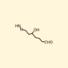 N=NCCC(O)CCCC=O